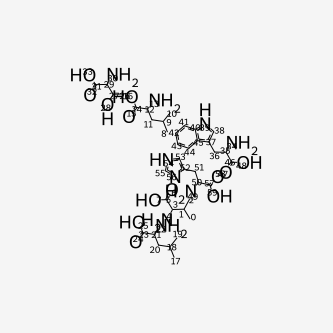 CC(C)C(N)C(=O)O.CC(C)CC(N)C(=O)O.CC(C)CC(N)C(=O)O.CC(O)C(N)C(=O)O.NC(Cc1c[nH]c2ccccc12)C(=O)O.NC(Cc1c[nH]cn1)C(=O)O